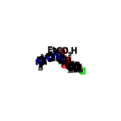 CCC(C(=O)O)N(C1CCN(c2ccnc(C)c2)CC1)N1CCN(S(=O)(=O)c2ccc3cc(Cl)ccc3c2)CC1=O